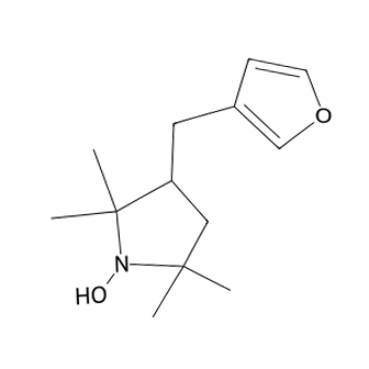 CC1(C)CC(Cc2ccoc2)C(C)(C)N1O